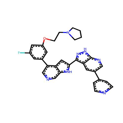 Fc1cc(OCCN2CCCC2)cc(-c2cncc3[nH]c(-c4n[nH]c5ncc(-c6ccncc6)cc45)cc23)c1